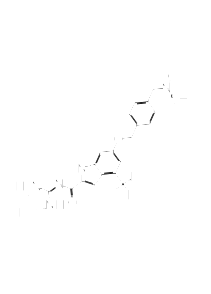 CNC(N)=NC(=O)c1cc2c(C(F)(F)F)cc(OCc3ccc(CN(C)C)cc3)cc2[nH]1